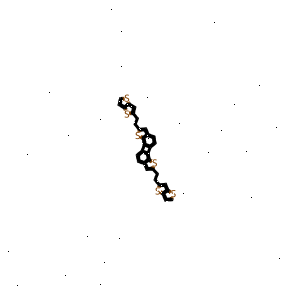 c1cc2sc(CCc3cc4ccc5c(c4s3)-c3ccc4cc(CCc6cc7sccc7s6)sc4c3-5)cc2s1